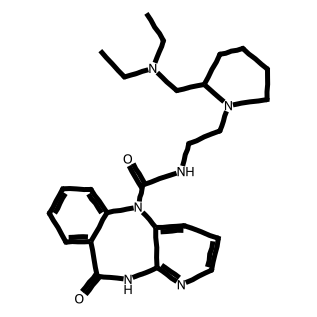 CCN(CC)CC1CCCCN1CCNC(=O)N1c2ccccc2C(=O)Nc2ncccc21